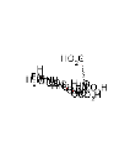 CCN[C@@H](CCCCNC(=O)COCCOCCNC(=O)COCCOCCNC(=O)CC[C@H](NC(=O)CC[C@H](NC(=O)CCCCCCCCCCCCCCCCC(=O)O)C(=O)O)C(=O)O)C(=O)P